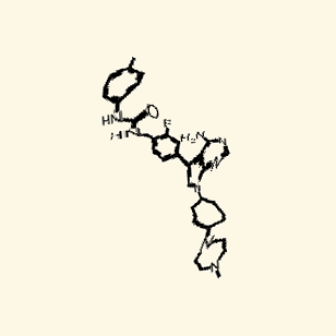 Cc1ccc(NC(=O)Nc2ccc(-c3cn(C4CCC(N5CCN(C)CC5)CC4)c4ncnc(N)c34)cc2F)cc1